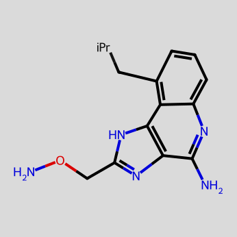 CC(C)Cc1cccc2nc(N)c3nc(CON)[nH]c3c12